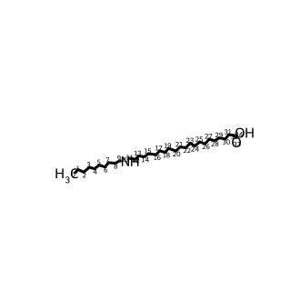 CCCCCCCCCCNCCCCCCCCCCCCCCCCCCCCCC(=O)O